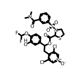 CN(C)C(=O)c1cccc(S(=O)(=O)N2CCSC2C(=O)OC(Cc2c(Cl)c[n+]([O-])cc2Cl)c2ccc(OC(F)F)c(O)c2)c1